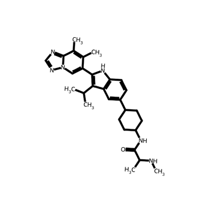 CNC(C)C(=O)NC1CCC(c2ccc3[nH]c(-c4cn5ncnc5c(C)c4C)c(C(C)C)c3c2)CC1